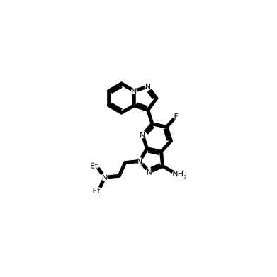 CCN(CC)CCn1nc(N)c2cc(F)c(-c3cnn4ccccc34)nc21